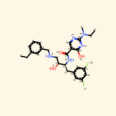 CCc1cccc(CNC[C@H](O)[C@H](Cc2cc(F)cc(F)c2)NC(=O)c2cnc(N(C)CC)nc2O)c1